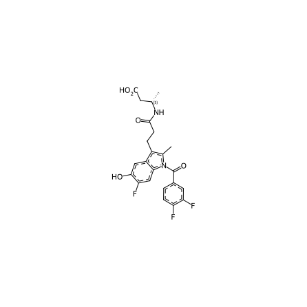 Cc1c(CCC(=O)N[C@@H](C)CC(=O)O)c2cc(O)c(F)cc2n1C(=O)c1ccc(F)c(F)c1